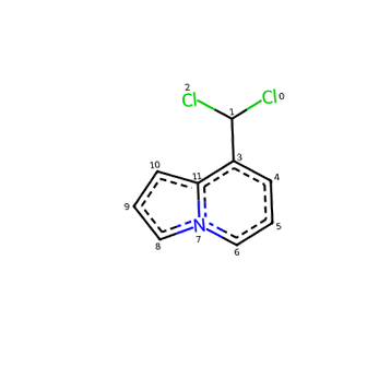 ClC(Cl)c1cccn2cccc12